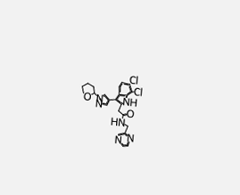 O=C(Cc1[nH]c2c(Cl)c(Cl)ccc2c1-c1cnn(C2CCCCO2)c1)NCc1cnccn1